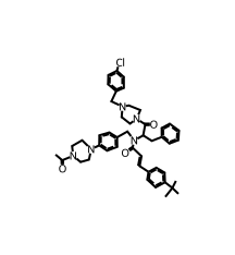 CC(=O)N1CCN(c2ccc(CN(C(=O)C=Cc3ccc(C(C)(C)C)cc3)C(Cc3ccccc3)C(=O)N3CCN(Cc4ccc(Cl)cc4)CC3)cc2)CC1